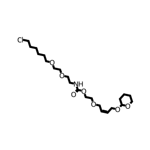 O=C(NCCOCCOCCCCCCCl)OCCOC/C=C\COC1CCCCO1